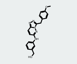 COc1ccc(Cc2nnc3ccc(Nc4cccc(CO)c4)nn23)cc1